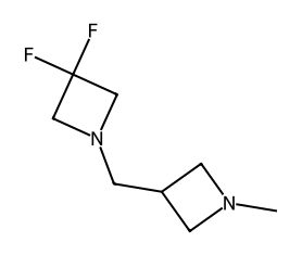 CN1CC(CN2CC(F)(F)C2)C1